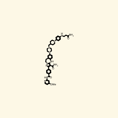 COc1ccnc(NC(=O)c2ccc(-c3nn4c(c3C(N)=O)Nc3ccc(N5CCN(CC6CCN(c7ccc(NCCC(N)=O)cc7)CC6)CC5)cc3CC4)cc2)c1